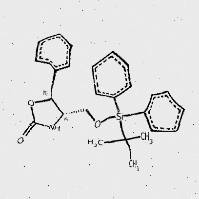 CC(C)(C)[Si](OC[C@@H]1NC(=O)O[C@H]1c1ccccc1)(c1ccccc1)c1ccccc1